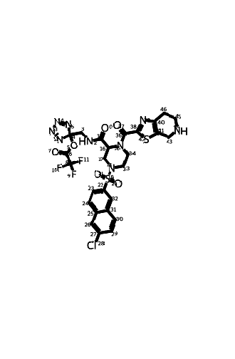 O=C(NCC1(OC(=O)C(F)(F)F)N=NN=N1)C1CN(S(=O)(=O)c2ccc3cc(Cl)ccc3c2)CCN1C(=O)c1nc2c(s1)CNCC2